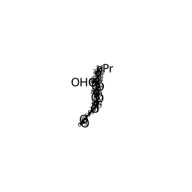 C=CC(=O)OCCCCCCOc1ccc(C(=O)Oc2ccc(C(=O)Oc3ccc(C4CCC(CCC)CC4)cc3C=O)cc2)cc1